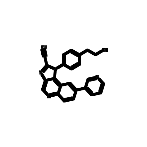 C#Cc1nc2cnc3ccc(-c4cccnc4)cc3c2n1-c1ccc(CCC#N)cc1